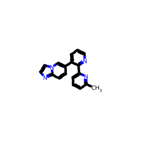 Cc1cccc(-c2ncccc2-c2ccc3nccn3c2)n1